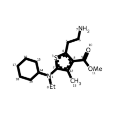 CCN(c1sc(CCN)c(C(=O)OC)c1C)C1CCCCC1